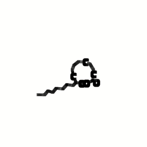 CCCCCCCCC1CCCCCCCCC(=O)OC1